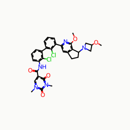 COc1nc(-c2cccc(-c3cccc(NC(=O)c4cn(C)c(=O)n(C)c4=O)c3Cl)c2Cl)cc2c1C(N1CC(OC)C1)CC2